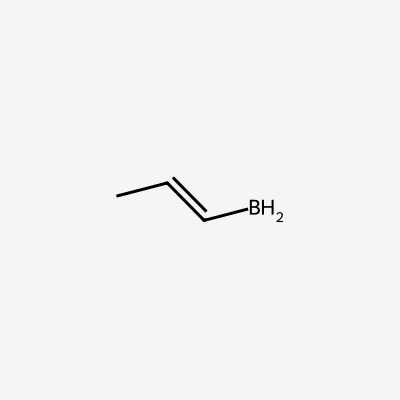 B/C=C/C